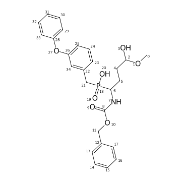 COC(O)CCC(NC(=O)OCc1ccccc1)P(=O)(O)Cc1cccc(Oc2ccccc2)c1